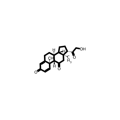 C[C@]12CC(=O)[C@H]3[C@@H](CCC4=CC(=O)C=C[C@@]43C)[C@@H]1CC[C@@H]2C(=O)CO